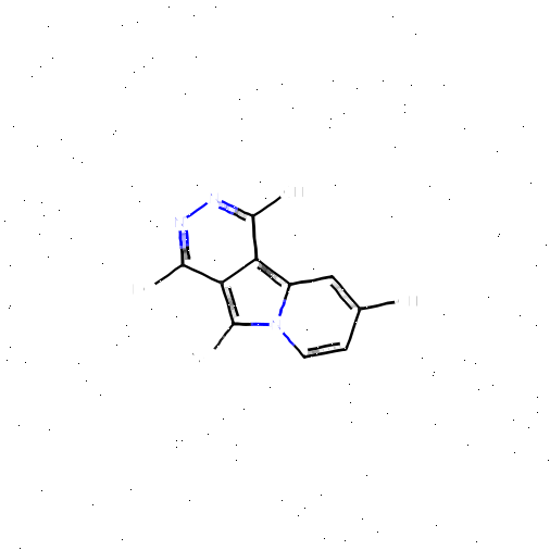 Cc1ccn2c(C#N)c3c(C)nnc(C)c3c2c1